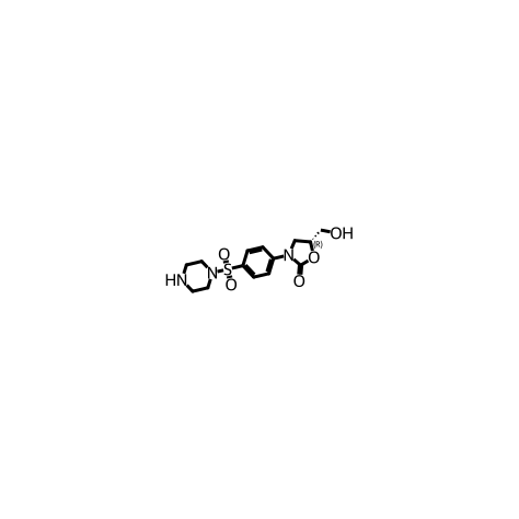 O=C1O[C@@H](CO)CN1c1ccc(S(=O)(=O)N2CCNCC2)cc1